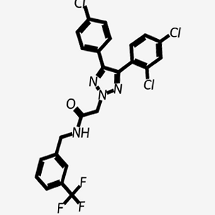 O=C(Cn1nc(-c2ccc(Cl)cc2)c(-c2ccc(Cl)cc2Cl)n1)NCc1cccc(C(F)(F)F)c1